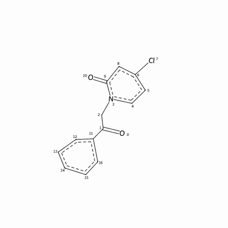 O=C(Cn1ccc(Cl)cc1=O)c1ccccc1